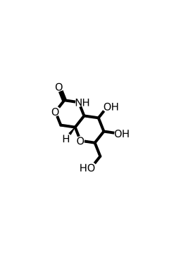 O=C1NC2C(O)C(O)C(CO)O[C@@H]2CO1